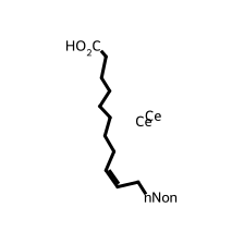 CCCCCCCCCC/C=C\CCCCCCCC(=O)O.[Ce].[Ce]